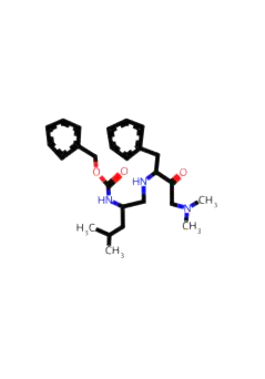 CC(C)CC(CNC(Cc1ccccc1)C(=O)CN(C)C)NC(=O)OCc1ccccc1